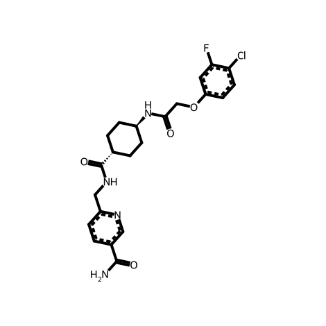 NC(=O)c1ccc(CNC(=O)[C@H]2CC[C@H](NC(=O)COc3ccc(Cl)c(F)c3)CC2)nc1